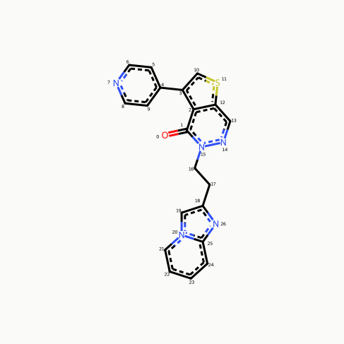 O=c1c2c(-c3ccncc3)csc2cnn1CCc1cn2ccccc2n1